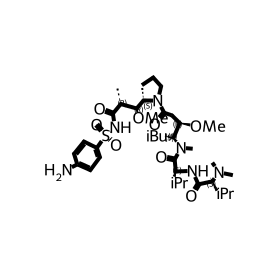 CC[C@H](C)[C@@H]([C@@H](CC(=O)N1CCC[C@H]1[C@H](OC)[C@@H](C)C(=O)NS(=O)(=O)c1ccc(N)cc1)OC)N(C)C(=O)[C@@H](NC(=O)[C@H](C(C)C)N(C)C)C(C)C